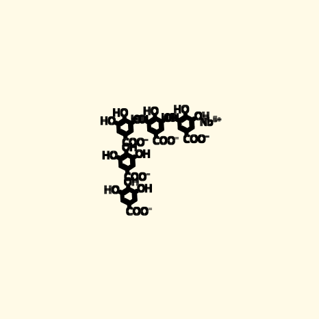 O=C([O-])c1cc(O)c(O)c(O)c1.O=C([O-])c1cc(O)c(O)c(O)c1.O=C([O-])c1cc(O)c(O)c(O)c1.O=C([O-])c1cc(O)c(O)c(O)c1.O=C([O-])c1cc(O)c(O)c(O)c1.[Nb+5]